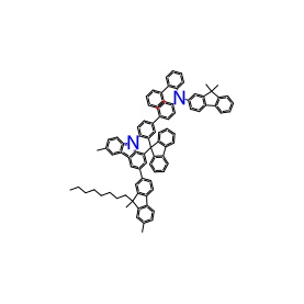 CCCCCCCCC1(C)c2cc(C)ccc2-c2ccc(-c3cc4c5c(c3)c3cc(C)ccc3n5-c3ccc(-c5ccc(N(c6ccc7c(c6)C(C)(C)c6ccccc6-7)c6ccccc6-c6ccccc6)cc5)cc3C43c4ccccc4-c4ccccc43)cc21